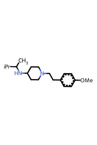 COc1ccc(CCN2CCC(NC(C)C(C)C)CC2)cc1